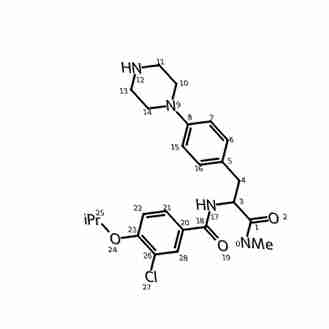 CNC(=O)C(Cc1ccc(N2CCNCC2)cc1)NC(=O)c1ccc(OC(C)C)c(Cl)c1